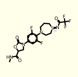 CNC(=O)C1CN(c2cc(F)c(N3CCC/S(=N\C(=O)C(F)(F)F)CC3)c(F)c2)C(=O)O1